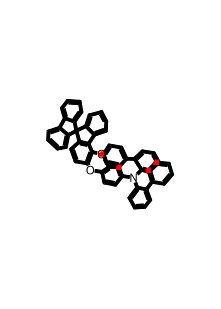 c1ccc(-c2ccccc2N(c2ccc3c(c2)Oc2c(ccc4c2-c2ccccc2C42c4ccccc4-c4ccccc42)O3)c2ccccc2-c2ccccc2)cc1